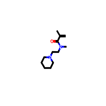 C=C(C)C(=O)N(C)CCN1CCCCC1